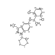 Cc1nn(C2CCCCO2)c2ccc(OC(C)c3c(Cl)cncc3Cl)cc12